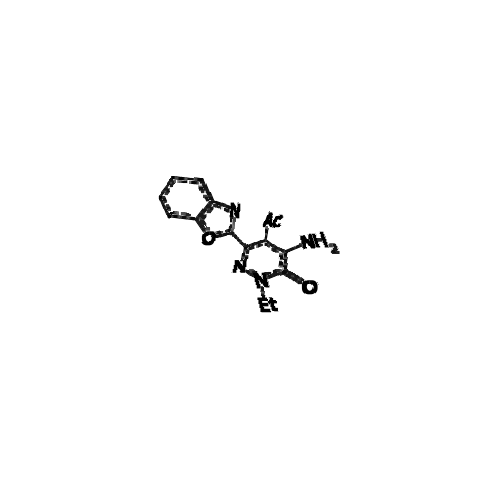 CCn1nc(-c2nc3ccccc3o2)c(C(C)=O)c(N)c1=O